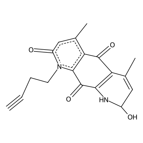 C#CCCn1c2c(c(C)cc1=O)C(=O)C1=C(NC(O)C=C1C)C2=O